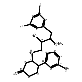 CC(=O)NC(Cc1cc(F)cc(F)c1)C(O)CNC1CC(=O)CCC1c1cccc(C(C)C)c1